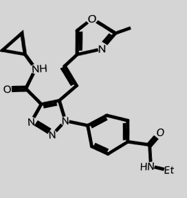 CCNC(=O)c1ccc(-n2nnc(C(=O)NC3CC3)c2C=Cc2coc(C)n2)cc1